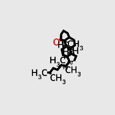 CC(C)CCC[C@@H](C)[C@H]1CC[C@H]2[C@@H]3CCC4CCCC(=O)[C@]4(C)[C@H]3CC[C@]12C